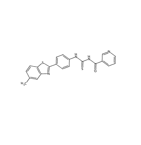 Cc1ccc2sc(-c3ccc(NC(=S)NC(=O)c4cccnc4)cc3)nc2c1